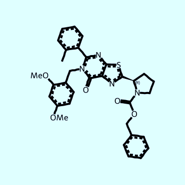 COc1ccc(Cn2c(-c3ccccc3C)nc3sc([C@H]4CCCN4C(=O)OCc4ccccc4)nc3c2=O)c(OC)c1